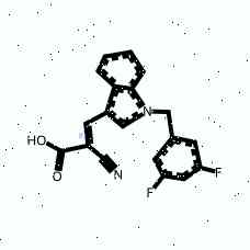 N#C/C(=C\c1cn(Cc2cc(F)cc(F)c2)c2ccccc12)C(=O)O